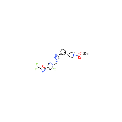 CC(C)(C)OC(=O)N1CCC(c2cccc(-c3cn(Cc4ncc(-c5nnc(C(F)F)o5)cc4F)nn3)c2)CC1